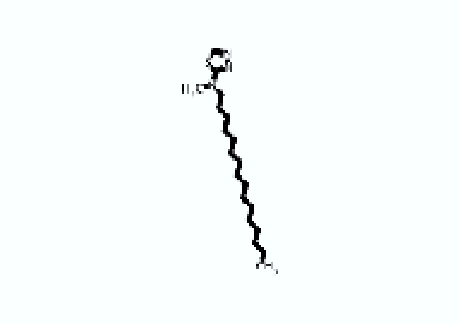 CCCCCCCCCCCCCCCCN(C)c1nncs1